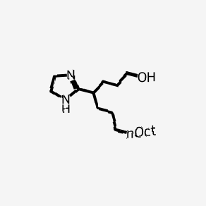 CCCCCCCCCCCC(CCCO)C1=NCCN1